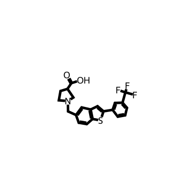 O=C(O)C1CCN(Cc2ccc3sc(-c4cccc(C(F)(F)F)c4)cc3c2)C1